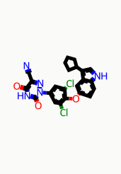 N#Cc1nn(-c2cc(Cl)c(Oc3ccc4[nH]cc(C5CCCC5)c4c3)c(Cl)c2)c(=O)[nH]c1=O